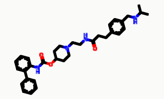 CC(C)NCc1ccc(CCC(=O)NCCN2CCC(OC(=O)Nc3ccccc3-c3ccccc3)CC2)cc1